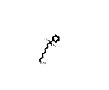 CCCCCCCCCCCCCCCCC(C)(C)c1ccccc1